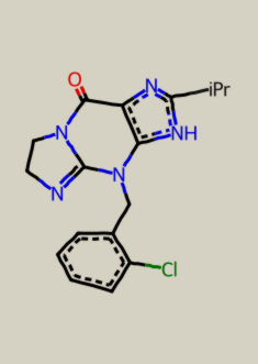 CC(C)c1nc2c([nH]1)N(Cc1ccccc1Cl)C1=NCCN1C2=O